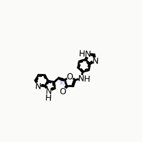 O=C1C=C(Nc2ccc3[nH]cnc3c2)O/C1=C/c1c[nH]c2ncccc12